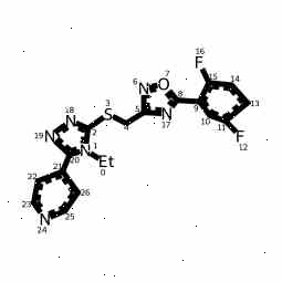 CCn1c(SCc2noc(-c3cc(F)ccc3F)n2)nnc1-c1ccncc1